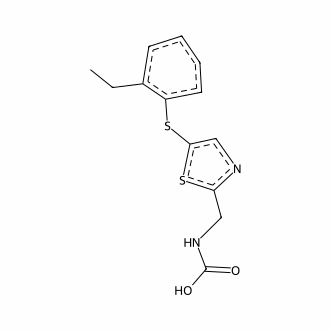 CCc1ccccc1Sc1cnc(CNC(=O)O)s1